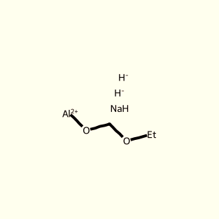 CCOC[O][Al+2].[H-].[H-].[NaH]